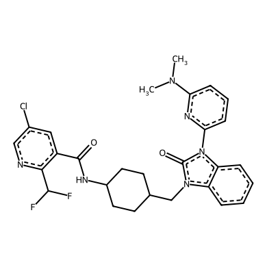 CN(C)c1cccc(-n2c(=O)n(CC3CCC(NC(=O)c4cc(Cl)cnc4C(F)F)CC3)c3ccccc32)n1